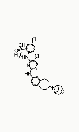 CP(C)(=O)c1cc(Cl)ccc1Nc1nc(Nc2ccc3c(c2)CCC(N2C4COCC2C4)CC3)ncc1Cl